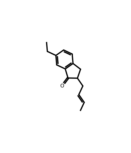 CC=CCC1Cc2ccc(CC)cc2C1=O